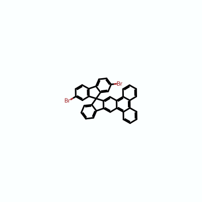 Brc1ccc2c(c1)C1(c3ccccc3-c3cc4c5ccccc5c5ccccc5c4cc31)c1cc(Br)ccc1-2